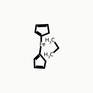 C1=CC[C]([Fe][C]2=CC=CC2)=C1.CCC